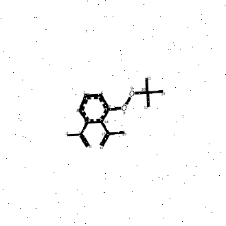 C=C(C)c1cccc(OOC(C)(C)C)c1C(=C)C